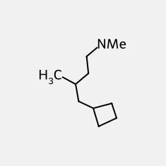 CNCCC(C)CC1CCC1